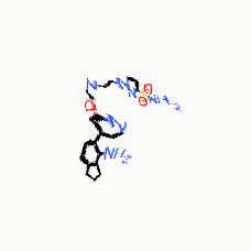 CN(CCOc1cc(-c2ccc3c(c2N)CCC3)ccn1)CCn1ccc(S(N)(=O)=O)n1